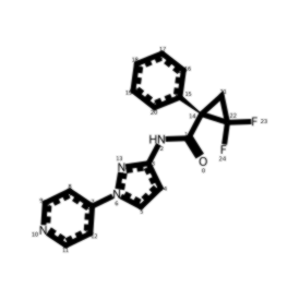 O=C(Nc1ccn(-c2ccncc2)n1)[C@]1(c2ccccc2)CC1(F)F